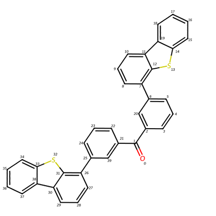 O=C(c1cccc(-c2cccc3c2sc2ccccc23)c1)c1cccc(-c2cccc3c2sc2ccccc23)c1